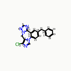 Clc1ncn2c1Cn1ncnc1-c1cc(Cc3ccccc3)ccc1-2